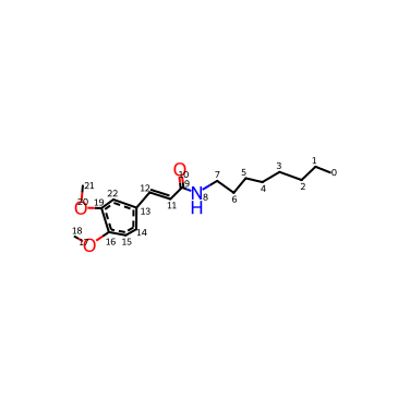 CCCCCCCCNC(=O)/C=C/c1ccc(OC)c(OC)c1